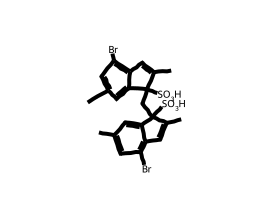 CC1=Cc2c(Br)cc(C)cc2C1(CC1(S(=O)(=O)O)C(C)=Cc2c(Br)cc(C)cc21)S(=O)(=O)O